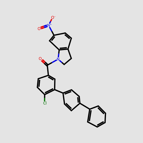 O=C(c1ccc(Cl)c(-c2ccc(-c3ccccc3)cc2)c1)N1CCc2ccc([N+](=O)[O-])cc21